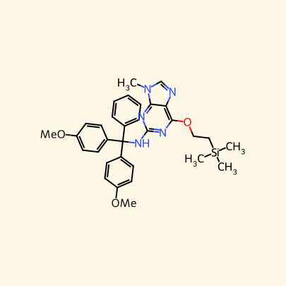 COc1ccc(C(Nc2nc(OCC[Si](C)(C)C)c3ncn(C)c3n2)(c2ccccc2)c2ccc(OC)cc2)cc1